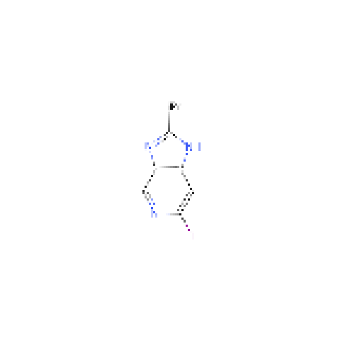 CC(C)c1nc2cnc(I)cc2[nH]1